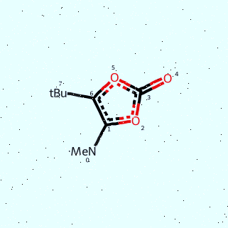 C[N]c1oc(=O)oc1C(C)(C)C